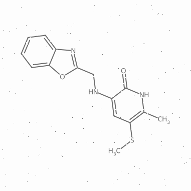 CSc1cc(NCc2nc3ccccc3o2)c(=O)[nH]c1C